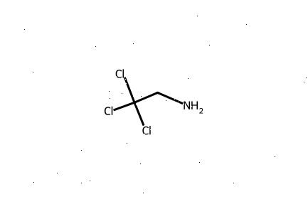 NCC(Cl)(Cl)Cl